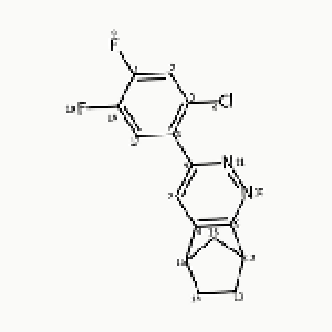 Fc1cc(Cl)c(-c2cc3c(nn2)C2CCC3C2)cc1F